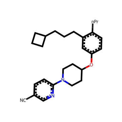 CCCc1ccc(OC2CCN(c3ccc(C#N)cn3)CC2)cc1CCCC1CCC1